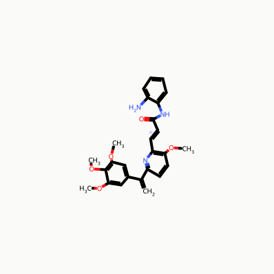 C=C(c1cc(OC)c(OC)c(OC)c1)c1ccc(OC)c(/C=C/C(=O)Nc2ccccc2N)n1